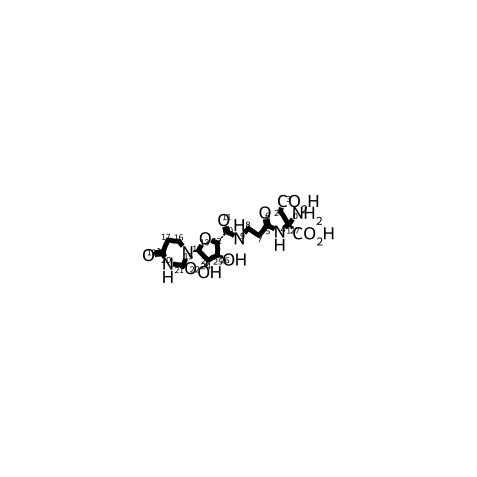 N[C@@](CC(=O)O)(NC(=O)CCNC(=O)[C@H]1O[C@@H](N2CCC(=O)NC2=O)[C@@H](O)[C@@H]1O)C(=O)O